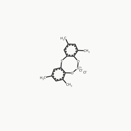 Cc1cc(C)c2c(c1)Sc1cc(C)cc(C)c1[O][Ti+2][O]2.[Cl-].[Cl-]